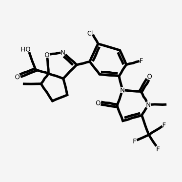 CC1CCC2C(c3cc(-n4c(=O)cc(C(F)(F)F)n(C)c4=O)c(F)cc3Cl)=NOC12C(=O)O